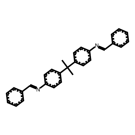 CC(C)(c1ccc(/N=C/c2ccccc2)cc1)c1ccc(/N=C/c2ccccc2)cc1